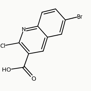 O=C(O)c1cc2cc(Br)ccc2nc1Cl